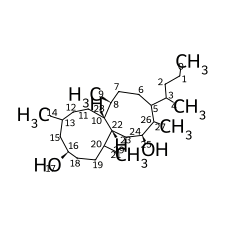 CCCC(C)C1CC[C@H](C)[C@H]2CCC(C)C[C@H](O)CCC(C)[C@H]2C[C@H](O)C1C